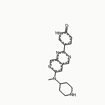 CN(c1cc2cnc(-c3ccc(=O)[nH]c3)nc2cn1)C1CCNCC1